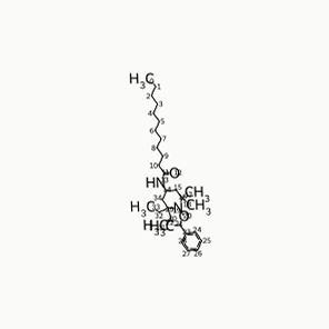 CCCCCCCCCCCC(=O)NC1CC(C)(C)N(OC(C)c2ccccc2)C(CC)(CC)C1